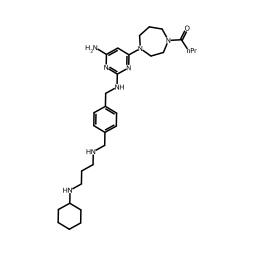 CCCC(=O)N1CCCN(c2cc(N)nc(NCc3ccc(CNCCCNC4CCCCC4)cc3)n2)CC1